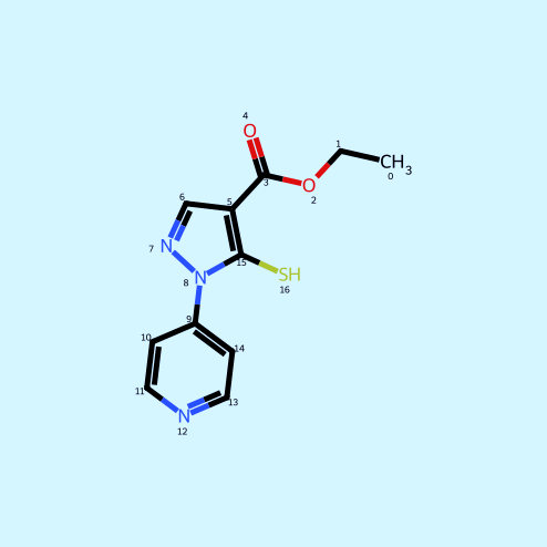 CCOC(=O)c1cnn(-c2ccncc2)c1S